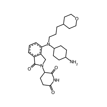 NC1CCC(N(CCCC2CCOCC2)c2cccc3c2CN(C2CCC(=O)NC2=O)C3=O)CC1